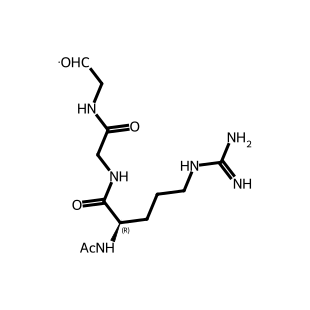 CC(=O)N[C@H](CCCNC(=N)N)C(=O)NCC(=O)NC[C]=O